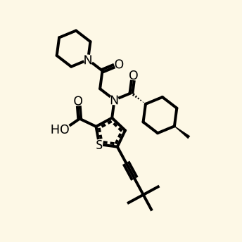 CC(C)(C)C#Cc1cc(N(CC(=O)N2CCCCC2)C(=O)[C@H]2CC[C@H](C)CC2)c(C(=O)O)s1